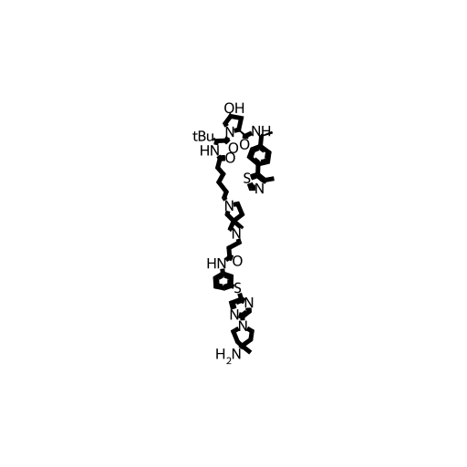 Cc1ncsc1-c1ccc([C@H](C)NC(=O)[C@@H]2C[C@@H](O)CN2C(=O)[C@@H](NC(=O)CCCCCN2CCC3(C2)CN(CCC(=O)Nc2cccc(Sc4cnc(N5CCC(C)(N)CC5)cn4)c2)C3)C(C)(C)C)cc1